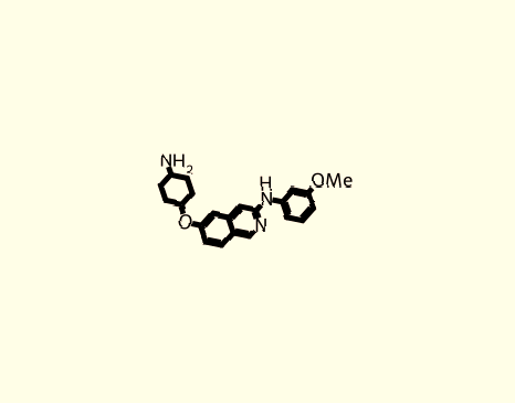 COc1cccc(Nc2cc3cc(OC4CCC(N)CC4)ccc3cn2)c1